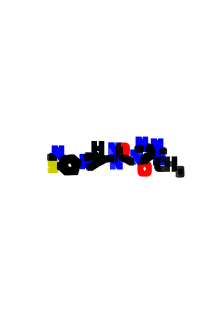 Cn1cnc2ncn(Cc3nc(C4=C5CN(c6ccc7scnc7c6)C[C@H]54)no3)c(=O)c21